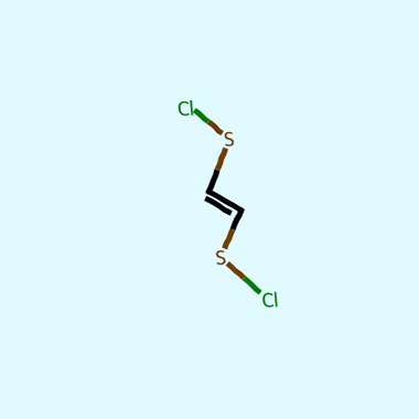 ClSC=CSCl